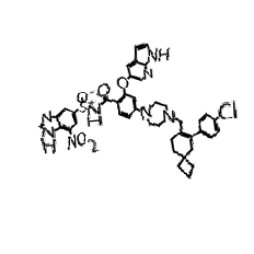 O=C(N[S+]([O-])c1cc([N+](=O)[O-])c2[nH]cnc2c1)c1ccc(N2CCN(CC3=C(c4ccc(Cl)cc4)CC4(CCC4)CC3)CC2)cc1Oc1cnc2[nH]ccc2c1